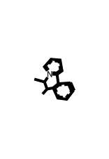 CC1c2ccc#cc2-c2cccc[n+]2C1C